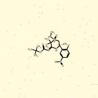 CN[SH]1(=O)C[C@@](C)(c2cc([N+](=O)[O-])ccc2F)N/C(=N/C(=O)OC(C)(C)C)C1(C)C